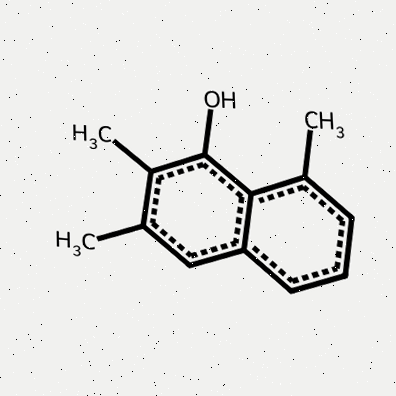 Cc1cc2cccc(C)c2c(O)c1C